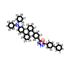 c1ccc(-c2ccc(-c3nnc(-c4ccc(-c5ccccc5-c5ccccc5-c5ccc(N(c6ccccc6)c6ccccc6)cc5)cc4)o3)cc2)cc1